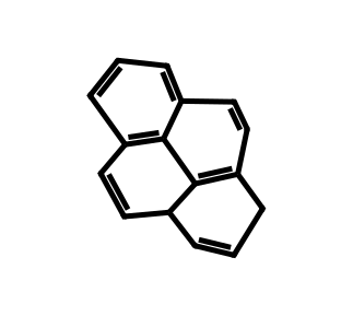 C1=CC2C=Cc3cccc4ccc(c2c34)C1